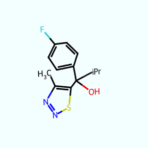 Cc1nnsc1C(O)(c1ccc(F)cc1)C(C)C